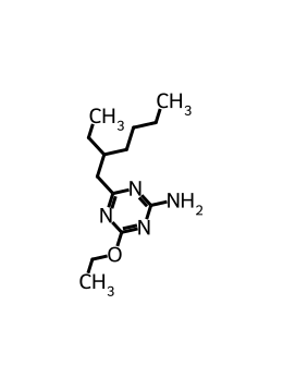 CCCCC(CC)Cc1nc(N)nc(OCC)n1